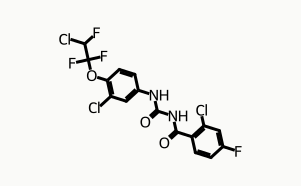 O=C(NC(=O)c1ccc(F)cc1Cl)Nc1ccc(OC(F)(F)C(F)Cl)c(Cl)c1